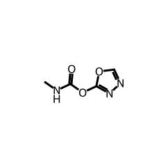 CNC(=O)Oc1nnco1